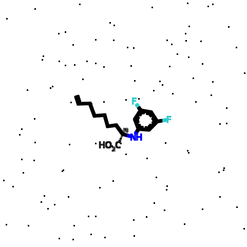 C=CCCCCC[C@H](Nc1cc(F)cc(F)c1)C(=O)O